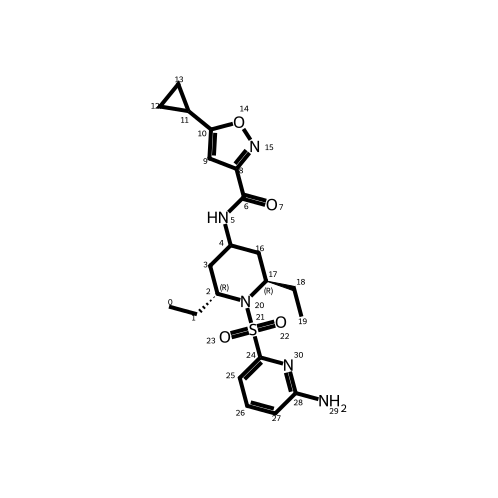 CC[C@@H]1CC(NC(=O)c2cc(C3CC3)on2)C[C@@H](CC)N1S(=O)(=O)c1cccc(N)n1